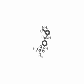 CC(C)S(=O)(=O)N[C@H]1CC[C@H](C(=O)Nc2cccc(C(N)=O)c2)CC1